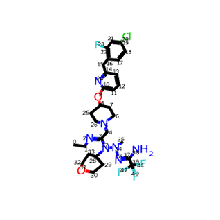 CC/N=C(/CN1CCC(Oc2cccc(Cc3ccc(Cl)cc3F)n2)CC1)N(C1CCOCC1)N(C)/N=C(\N)C(F)(F)F